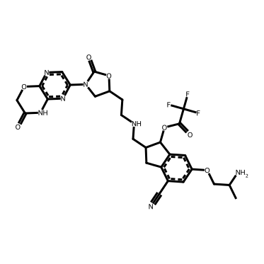 CC(N)COc1cc(C#N)c2c(c1)C(OC(=O)C(F)(F)F)C(CNCCC1CN(c3cnc4c(n3)NC(=O)CO4)C(=O)O1)C2